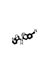 N#Cc1ccc(CC(=O)NC2COc3ncccc32)c(Cl)c1